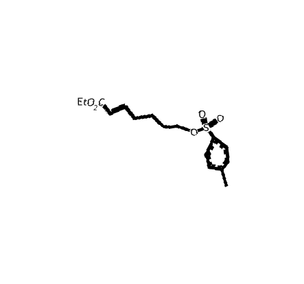 CCOC(=O)C=CCCCCOS(=O)(=O)c1ccc(C)cc1